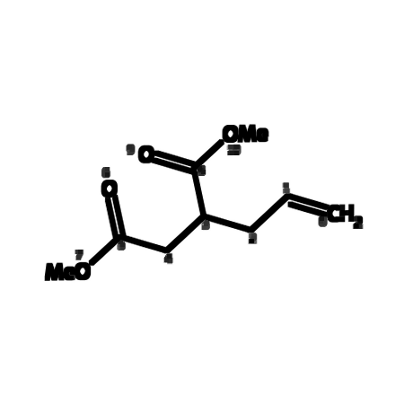 C=CCC(CC(=O)OC)C(=O)OC